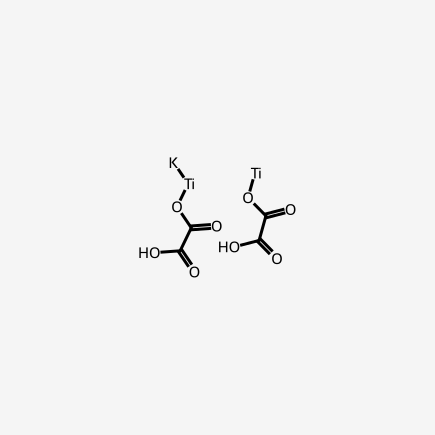 O=C(O)C(=O)[O][Ti].O=C(O)C(=O)[O][Ti][K]